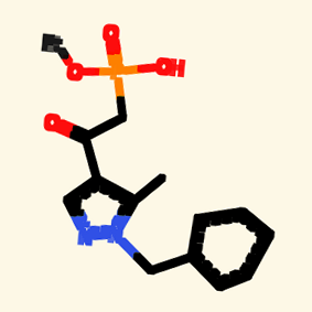 CCOP(=O)(O)CC(=O)c1cnn(Cc2ccccc2)c1C